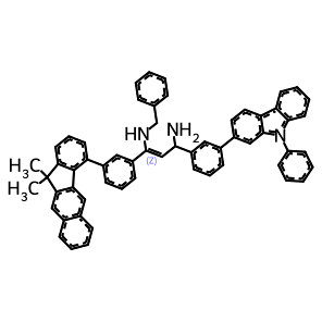 CC1(C)c2cc3ccccc3cc2-c2c(-c3cccc(/C(=C/C(N)c4cccc(-c5ccc6c7ccccc7n(-c7ccccc7)c6c5)c4)NCc4ccccc4)c3)cccc21